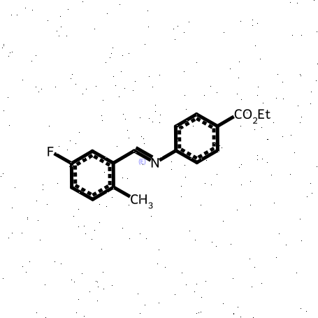 CCOC(=O)c1ccc(/N=C/c2cc(F)ccc2C)cc1